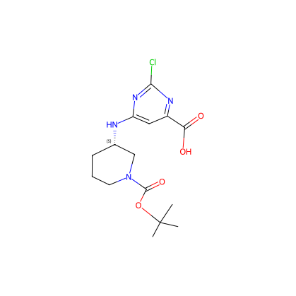 CC(C)(C)OC(=O)N1CCC[C@H](Nc2cc(C(=O)O)nc(Cl)n2)C1